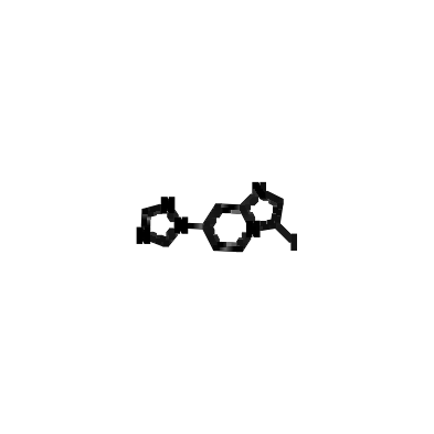 Ic1cnc2cc(-n3cncn3)ccn12